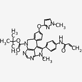 C=CC(=O)Nc1ccc(-c2c3c4c(ncnc4n2C)N(C(=O)OC(C)(C)C)Cc2cc(Oc4ccn(C)n4)ccc2-3)cc1